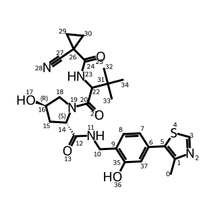 Cc1ncsc1-c1ccc(CNC(=O)[C@@H]2C[C@@H](O)CN2C(=O)C(NC(=O)C2(C#N)CC2)C(C)(C)C)c(O)c1